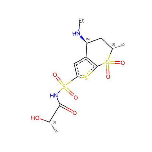 CCN[C@H]1C[C@H](C)S(=O)(=O)c2sc(S(=O)(=O)NC(=O)[C@H](C)O)cc21